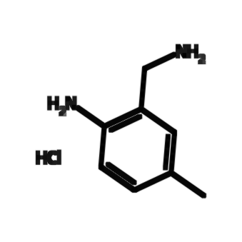 Cc1ccc(N)c(CN)c1.Cl